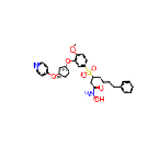 COc1ccc(S(=O)(=O)C(CCCCc2ccccc2)CC(=O)NO)cc1O[C@@H]1CC[C@@H](Oc2ccncc2)C1